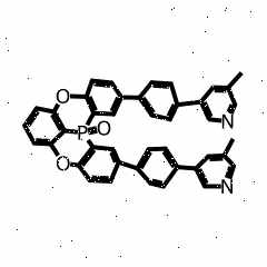 Cc1cncc(-c2ccc(-c3ccc4c(c3)P3(=O)c5cc(-c6ccc(-c7cncc(C)c7)cc6)ccc5Oc5cccc(c53)O4)cc2)c1